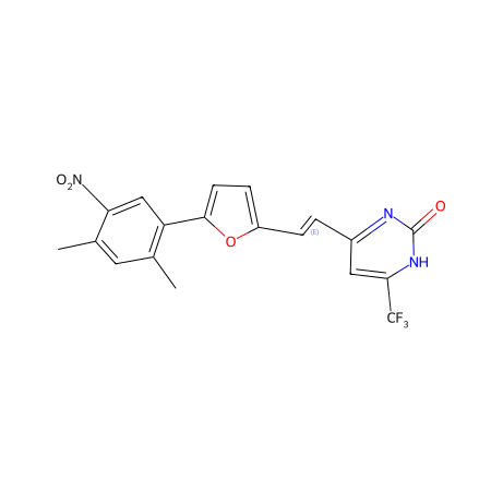 Cc1cc(C)c([N+](=O)[O-])cc1-c1ccc(/C=C/c2cc(C(F)(F)F)[nH]c(=O)n2)o1